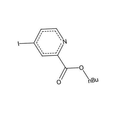 CCCCOC(=O)c1cc(I)ccn1